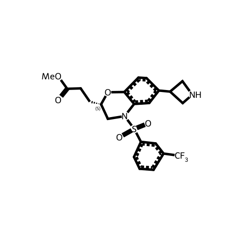 COC(=O)CC[C@H]1CN(S(=O)(=O)c2cccc(C(F)(F)F)c2)c2cc(C3CNC3)ccc2O1